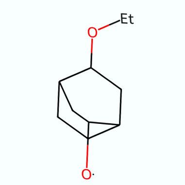 [CH2]COC1CC2CCC1CC2[O]